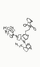 CC1CCc2ncnc(N3CC4(CCN(C(=O)OC(C)(C)C)CC4)c4cc(CCN5C(=O)c6ccccc6C5=O)ccc43)c21